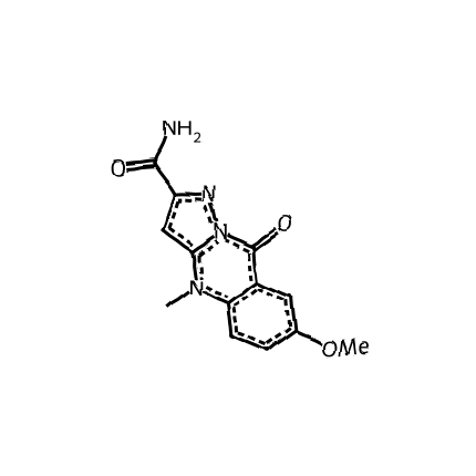 COc1ccc2c(c1)c(=O)n1nc(C(N)=O)cc1n2C